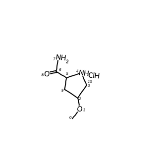 COC1CNC(C(N)=O)C1.Cl